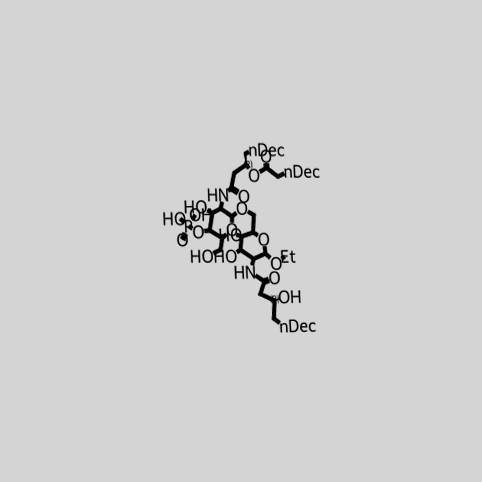 CCCCCCCCCCCC(=O)O[C@H](CCCCCCCCCCC)CC(=O)NC1C(OCC2OC(OCC)C(NC(=O)C[C@H](O)CCCCCCCCCCC)C(O)C2O)OC(CO)C(OP(=O)(O)O)C1O